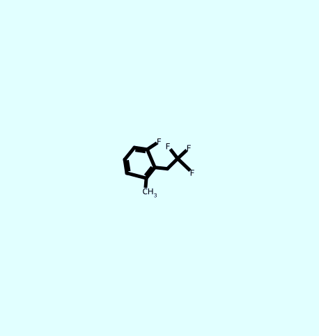 Cc1cccc(F)c1CC(F)(F)F